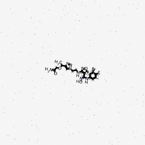 CC(OCC(N)=O)c1cn(CCNc2nonc2/C(=N/O)Nc2ccc(F)c(Br)c2)nn1